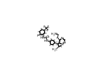 Cc1cn2ncnc(CCN)c2c1-c1ccc(NC(=O)Nc2cc(C(F)(F)F)ccc2F)cc1